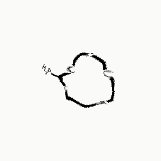 PC1CCCCCCCCCCCCCCC1